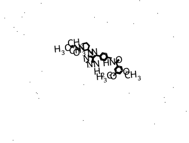 COc1cc(OC)cc(C(=O)NCc2ccc(-c3nn(C4CCCN(C(=O)CC(C)(C)C)C4)c4ncnc(N)c34)cc2)c1